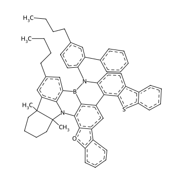 CCCCc1ccc(N2B3c4cc(CCCC)cc5c4N(c4c3c(cc3c4oc4ccccc43)-c3c2ccc2c3sc3ccccc32)C2(C)CCCCC52C)c(-c2ccccc2)c1